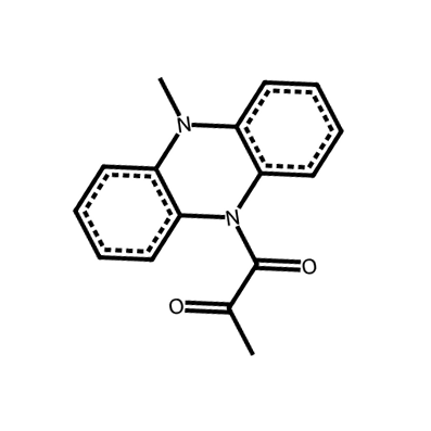 CC(=O)C(=O)N1c2ccccc2N(C)c2ccccc21